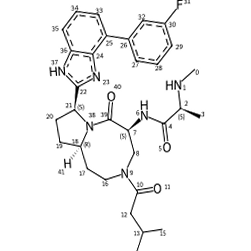 CN[C@@H](C)C(=O)N[C@H]1CN(C(=O)CC(C)C)CC[C@H]2CC[C@@H](c3nc4c(-c5cccc(F)c5)cccc4[nH]3)N2C1=O